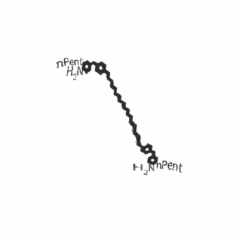 CCCCCc1cc(Cc2ccc(CCCCCCCCCCCCCCCCCCc3ccc(Cc4ccc(N)c(CCCCC)c4)cc3)cc2)ccc1N